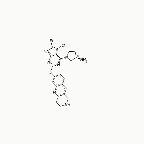 CCc1[nH]c2nc(Sc3ccc4cc5c(nc4c3)CCNC5)nc(N3CC[C@@H](N)C3)c2c1Cl